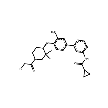 Cc1cc(-c2cc(NC(=O)C3CC3)ncn2)ccc1O[C@@H]1CCN(C(=O)CO)CC1(F)F